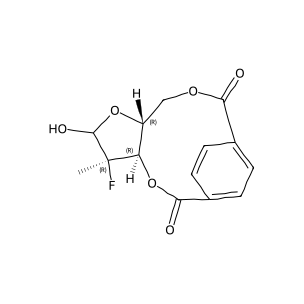 C[C@]1(F)C(O)O[C@@H]2COC(=O)c3ccc(cc3)C(=O)O[C@H]21